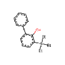 CC[Si](CC)(CC)c1cccc(-c2ccccc2)c1O